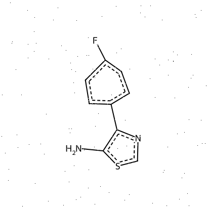 Nc1scnc1-c1ccc(F)cc1